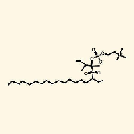 CCCCCCCCCCCCCCCC(CC)S(=O)(=O)C(C)(OP(=O)([O-])OCC[N+](C)(C)C)C(C)OC